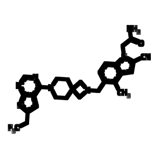 Cc1c(CN2CC3(CCN(c4ncnc5sc(CC(F)(F)F)cc45)CC3)C2)ccc2c1cc(C#N)n2CC(N)=O